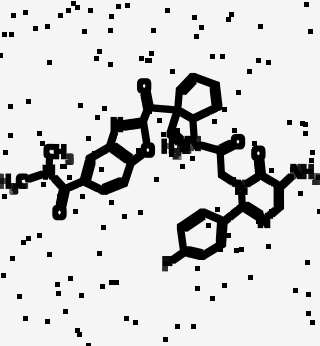 C=CC1(C(=O)c2nc3cc(C(=O)N(C)C)ccc3o2)C=CC=CC1NC(=O)Cn1c(-c2ccc(F)cc2)ncc(N)c1=O